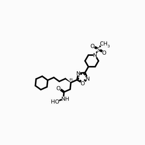 CS(=O)(=O)N1CCC(c2noc([C@H](CCCC3CCCCC3)CC(=O)NO)n2)CC1